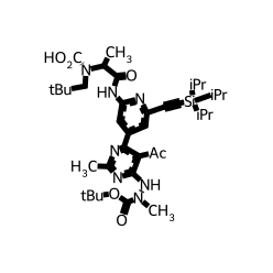 CC(=O)c1c(NN(C)C(=O)OC(C)(C)C)nc(C)nc1-c1cc(C#C[Si](C(C)C)(C(C)C)C(C)C)nc(NC(=O)C(C)N(CC(C)(C)C)C(=O)O)c1